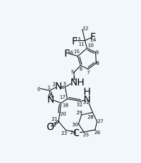 Cc1nc(NCc2cccc(C(C)(F)F)c2F)c2/c(n1)=C\C(=O)CCC1CCC(CC1)N/C=2